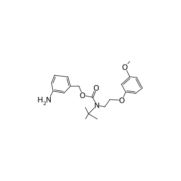 COc1cccc(OCCN(C(=O)OCc2cccc(N)c2)C(C)(C)C)c1